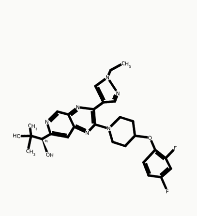 CCn1cc(-c2nc3cnc([C@@H](O)C(C)(C)O)cc3nc2N2CCC(Oc3ccc(F)cc3F)CC2)cn1